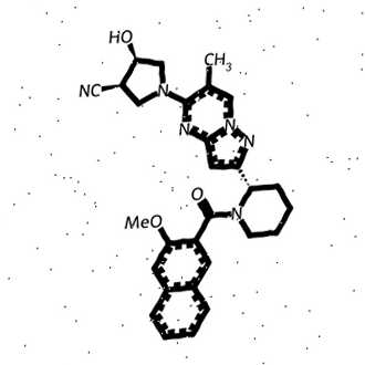 COc1cc2ccccc2cc1C(=O)N1CCCC[C@H]1c1cc2nc(N3C[C@@H](C#N)[C@@H](O)C3)c(C)cn2n1